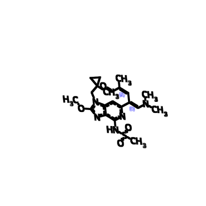 COc1nc2c(NS(C)(=O)=O)nc(C(/C=C(/C)C=O)=C/N(C)C)cc2n1CC1(C)CC1